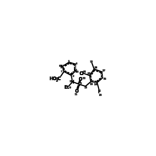 CCN(c1nccnc1C(=O)O)S(=O)(=O)Cc1c(F)ccc(C)c1Cl